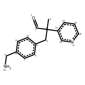 CC(C=O)(Cc1ccc(CN)cc1)c1cccnc1